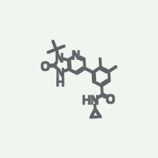 Cc1cc(C(=O)NC2CC2)cc(-c2cnc3c(c2)[nH]c(=O)n3C(C)(C)C)c1C